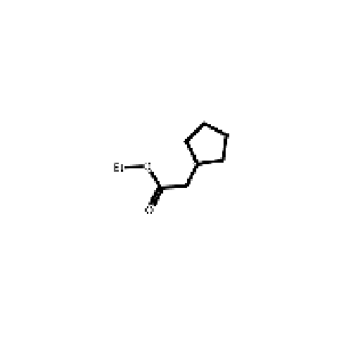 CCOC(=O)C[C]1CCCC1